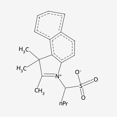 CCCC([N+]1=C(C)C(C)(C)c2c1ccc1ccccc21)S(=O)(=O)[O-]